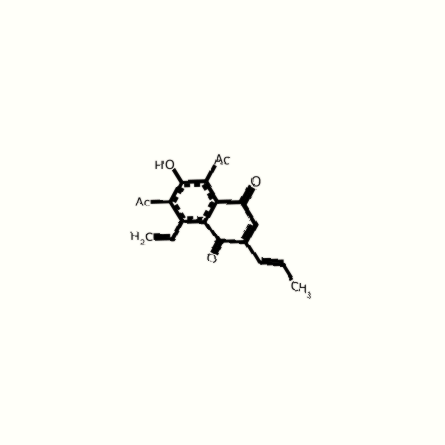 C=Cc1c(C(C)=O)c(O)c(C(C)=O)c2c1C(=O)C(/C=C/C)=CC2=O